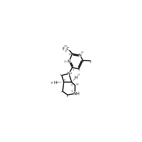 Cc1cc(N2C[C@@H]3CCNC[C@@H]32)nc(C(F)(F)F)n1